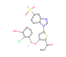 COC(=O)c1sc(-n2cnc3cc(S(C)(=O)=O)ccc32)cc1O[C@H](C)c1cccc(O)c1Cl